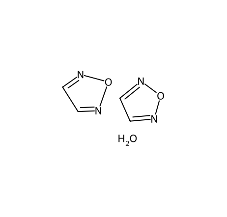 O.c1cnon1.c1cnon1